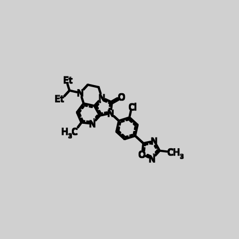 CCC(CC)N1CCn2c(=O)n(-c3ccc(-c4nc(C)no4)cc3Cl)c3nc(C)cc1c32